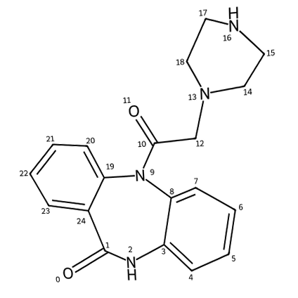 O=C1Nc2ccccc2N(C(=O)CN2CCNCC2)c2ccccc21